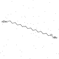 CCCCCCCCCCCCCCCCCCCCCCCCCCOCCCC